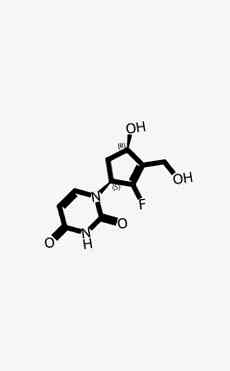 O=c1ccn([C@H]2C[C@@H](O)C(CO)=C2F)c(=O)[nH]1